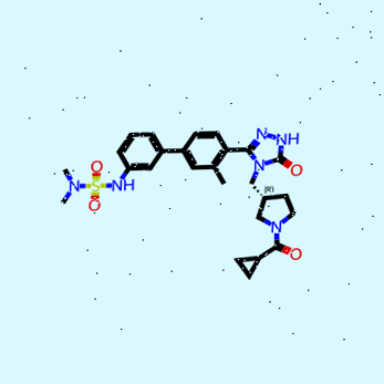 Cc1cc(-c2cccc(NS(=O)(=O)N(C)C)c2)ccc1-c1n[nH]c(=O)n1C[C@@H]1CCN(C(=O)C2CC2)C1